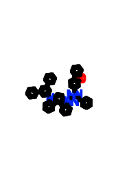 c1ccc(-c2cc(-c3ccccc3)cc(-n3c4ccccc4c4c5c6ccccc6n(-c6nc(-c7ccccc7)nc(-c7ccc8c(c7)oc7ccccc78)n6)c5ccc43)c2)cc1